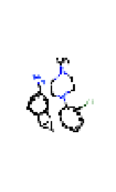 CN1CCN(c2ccccc2Cl)CC1.Nc1ccc2c(c1)C1CC21